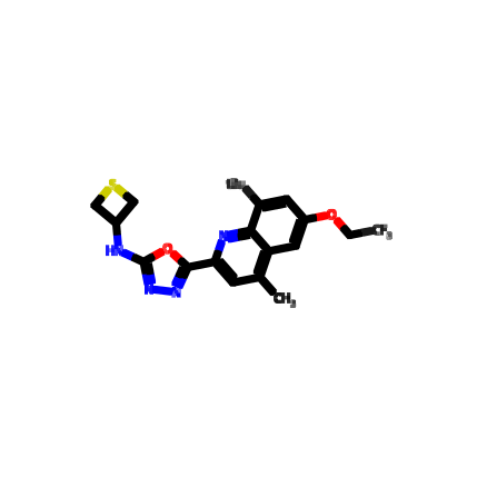 Cc1cc(-c2nnc(NC3CSC3)o2)nc2c(C(C)(C)C)cc(OCC(F)(F)F)cc12